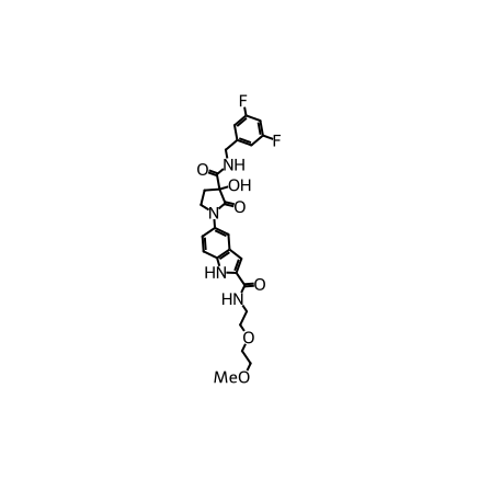 COCCOCCNC(=O)c1cc2cc(N3CCC(O)(C(=O)NCc4cc(F)cc(F)c4)C3=O)ccc2[nH]1